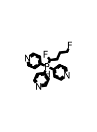 FCCCC(F)[PH](c1ccncc1)(c1ccncc1)c1ccncc1